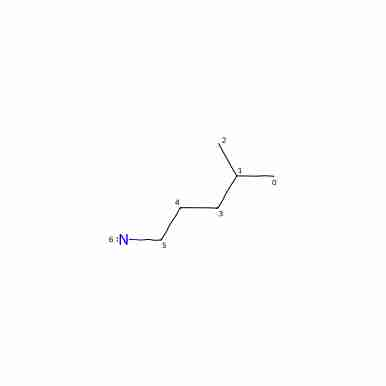 CC(C)CCC[N]